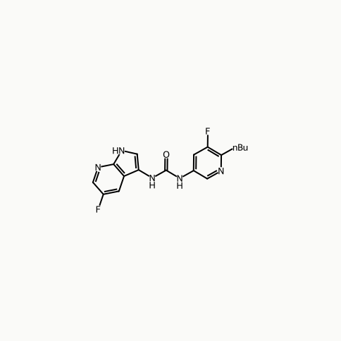 CCCCc1ncc(NC(=O)Nc2c[nH]c3ncc(F)cc23)cc1F